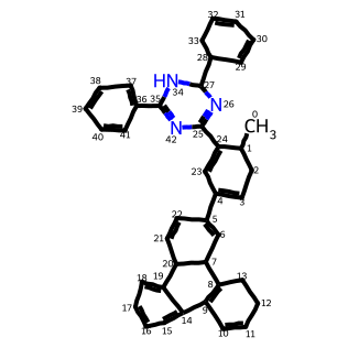 CC1CC=C(C2=CC3C4=C(C=CCC4)c4ccccc4C3C=C2)C=C1C1=NC(C2C=CC=CC2)NC(c2ccccc2)=N1